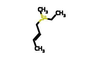 CC=CC[S+](C)CC